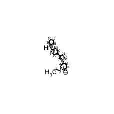 CCCn1cc(-n2cc(-c3cnc(NC4CCCC4)nc3)cn2)ccc1=O